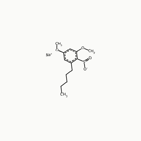 CCCCCc1cc(OC)cc(OC)c1S(=O)[O-].[Na+]